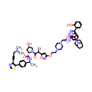 CCC(C(=O)N1C[C@H](O)C[C@H]1C(=O)N[C@@H](C)c1ccc(-c2scnc2C#CCN(C)C)cc1)c1cc(OCCN2CCN(CCOc3cc(N4C5CCC4CN(c4cc(-c6ccccc6O)nnc4N)C5)ccn3)CC2)no1